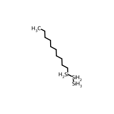 CCCCCCCCCC[SiH2][SiH2][SiH3]